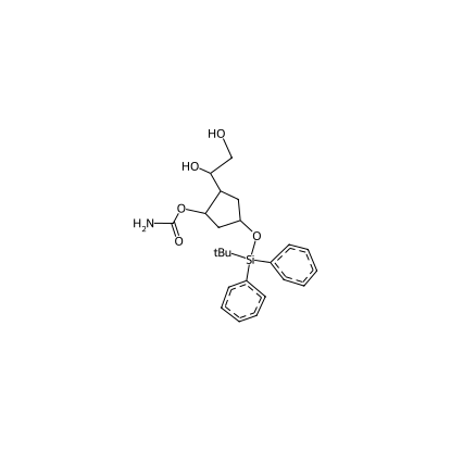 CC(C)(C)[Si](OC1CC(OC(N)=O)C(C(O)CO)C1)(c1ccccc1)c1ccccc1